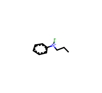 CCC[N+](F)c1ccccc1